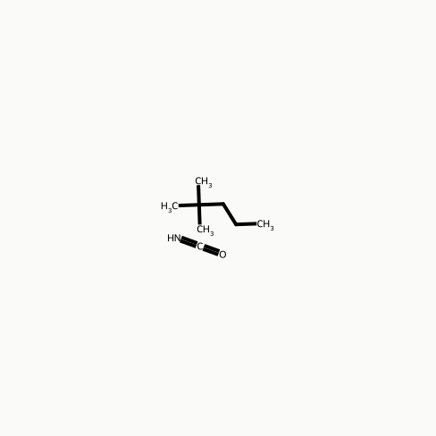 CCCC(C)(C)C.N=C=O